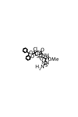 CON=C(C(=O)NC1C(=O)N2CC(CCl)(C(=O)OC(c3ccccc3)c3ccccc3)CS[C@H]12)c1nsc(N)n1